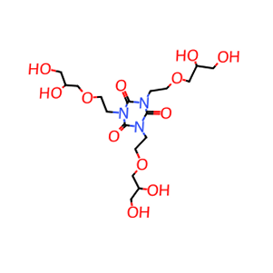 O=c1n(CCOCC(O)CO)c(=O)n(CCOCC(O)CO)c(=O)n1CCOCC(O)CO